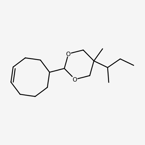 CCC(C)C1(C)COC(C2CC/C=C\CCC2)OC1